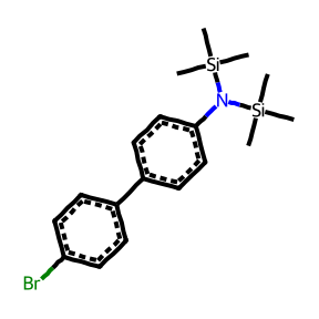 C[Si](C)(C)N(c1ccc(-c2ccc(Br)cc2)cc1)[Si](C)(C)C